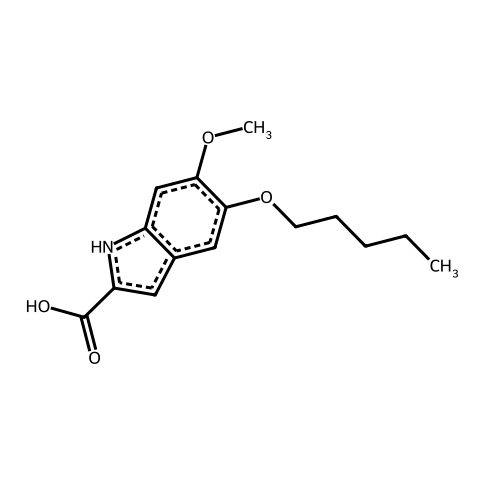 CCCCCOc1cc2cc(C(=O)O)[nH]c2cc1OC